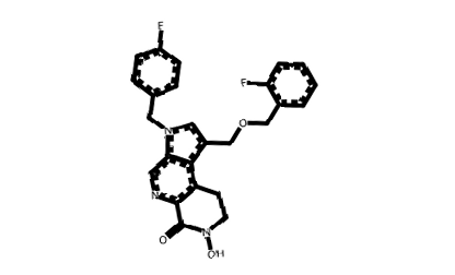 O=C1c2ncc3c(c(COCc4ccccc4F)cn3Cc3ccc(F)cc3)c2CCN1O